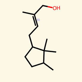 C/C(=C\CC1CCC(C)C1(C)C)CO